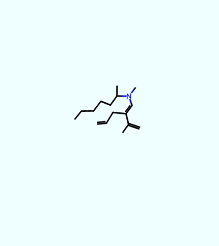 C=CC/C(=C\N(C)C(C)CCCCC)C(=C)C